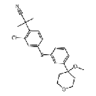 COC1(c2cccc(Sc3ccc(C(C)(C)C#N)c(Cl)c3)c2)CCOCC1